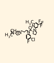 Cc1cc(C(F)(F)F)cc(N2CCC[C@H]2C(=O)N(CCCN2CC[C@H](N(C)C)C2)c2ccc(F)c(Cl)c2)n1